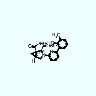 COC[C@H]1N(c2cccc(-c3cccc(C)c3O)n2)C[C@@H]2C[C@@]21C(=O)OC